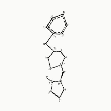 CN1CCC[C@@H]1CN1CCC(Cc2ccccc2)CC1